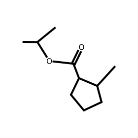 CC(C)OC(=O)C1CCCC1C